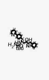 CC(C)(C)[C@@H](N)C(=O)NN(Cc1ccc(-c2ccccn2)cc1)C[C@H](O)[C@@H](N)Cc1ccccc1